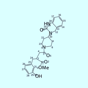 COC(=O)C(CC(=O)N1CCC(N2Cc3ccccc3NC2=O)CC1)Cc1cccc(O)c1